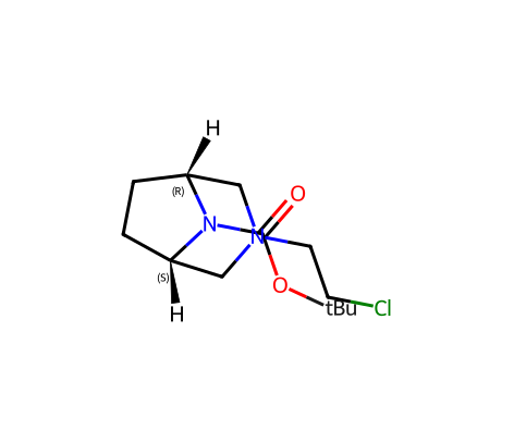 CC(C)(C)OC(=O)N1[C@@H]2CC[C@H]1CN(CCCl)C2